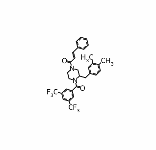 Cc1ccc(CC2CN(C(=O)C=Cc3ccccc3)CCN2C(=O)c2cc(C(F)(F)F)cc(C(F)(F)F)c2)cc1C